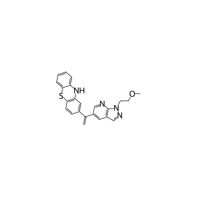 C=C(c1ccc2c(c1)Nc1ccccc1S2)c1cnc2c(cnn2CCOC)c1